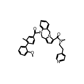 COc1ccccc1-c1ccc(C(=O)N2Cc3ccc(C(=O)N(C)CCc4ccncc4)n3Cc3ccccc32)cc1C